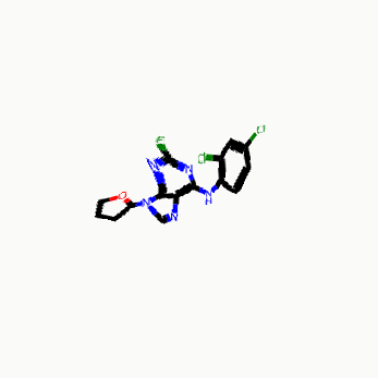 Fc1nc(Nc2ccc(Cl)cc2Cl)c2ncn(C3CCCO3)c2n1